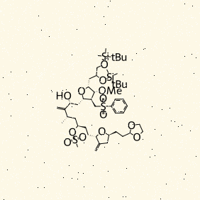 C=C1C[C@H](CCC2OCCO2)O[C@H]1CC[C@H](C[C@H](C)C(=C)[C@H](O)C[C@@H]1O[C@H](CC(CO[Si](C)(C)C(C)(C)C)O[Si](C)(C)C(C)(C)C)[C@H](OC)[C@H]1CS(=O)(=O)c1ccccc1)OS(C)(=O)=O